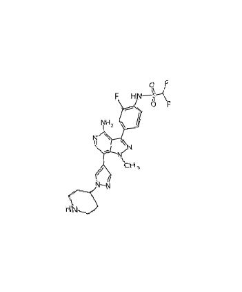 Cn1nc(-c2ccc(NS(=O)(=O)C(F)F)c(F)c2)c2c(N)ncc(-c3cnn(C4CCNCC4)c3)c21